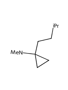 CNC1(CCC(C)C)CC1